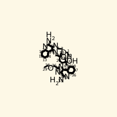 CCOCc1nc2c(N)nc3ccccc3c2n1CC(C)(O)CC(n1c(COCC)nc2c(N)nc3ccccc3c21)C(C)(C)O